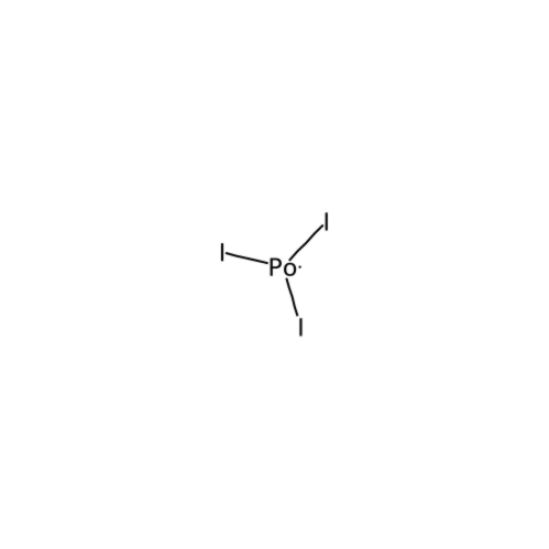 [I][Po]([I])[I]